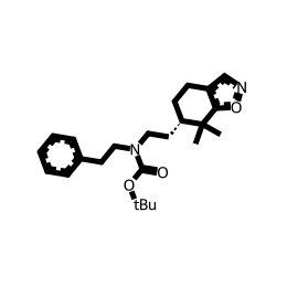 CC(C)(C)OC(=O)N(CCc1ccccc1)CC[C@@H]1CCc2cnoc2C1(C)C